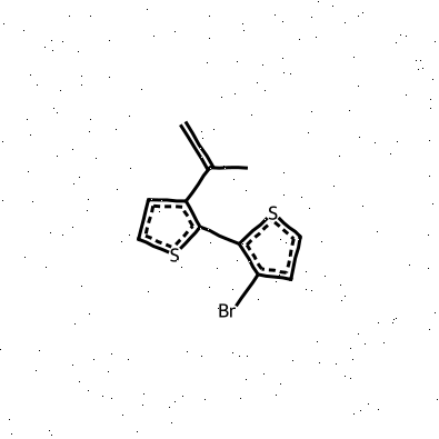 C=C(C)c1ccsc1-c1sccc1Br